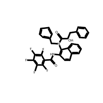 O=C(Nc1ccc2ccccc2c1N(Cc1ccccc1)C(=O)C(O)Cc1ccccc1)c1c(F)c(F)c(F)c(F)c1F